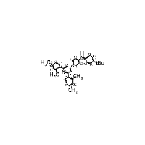 Cc1ccc(-c2cc(-c3ccc(Nc4ccc(C(C)(C)C)cc4)cc3)cc(-c3ccc(C)cc3C)n2)c(C)c1